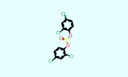 O=S(Oc1ccc(Cl)cc1Cl)Oc1ccc(Cl)cc1Cl